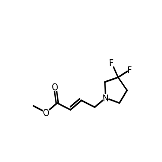 COC(=O)/C=C/CN1CCC(F)(F)C1